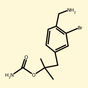 CC(C)(Cc1ccc(CN)c(Br)c1)OC(N)=O